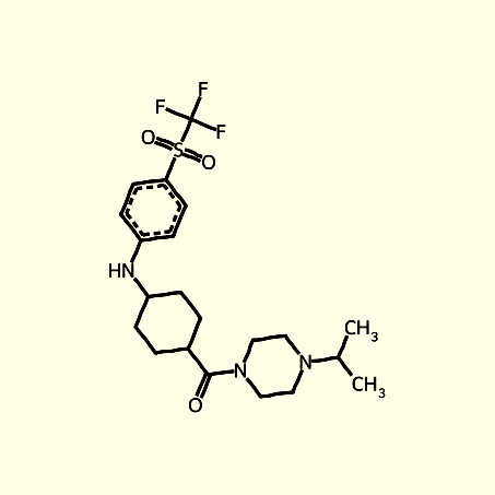 CC(C)N1CCN(C(=O)C2CCC(Nc3ccc(S(=O)(=O)C(F)(F)F)cc3)CC2)CC1